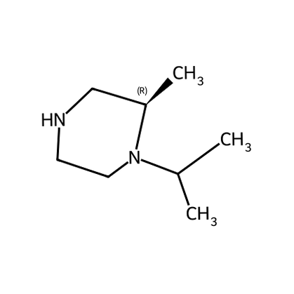 CC(C)N1CCNC[C@H]1C